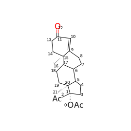 CC(=O)O[C@@]1(C(C)=O)CCC2C3CCC4=CC(=O)CC[C@]4(C)C3CC[C@@]21C